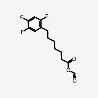 O=COC(=O)CCCCCCc1cc(F)c(F)cc1F